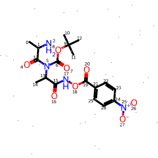 CC(N)C(=O)N(C(=O)OC(C)(C)C)C(C)C(=O)NOC(=O)c1ccc([N+](=O)[O-])cc1